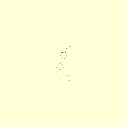 CNC(=O)c1ccc(-c2ccc(C3CS(=O)(=O)CCC3NS(=O)(=O)C(C)C)cc2)cc1